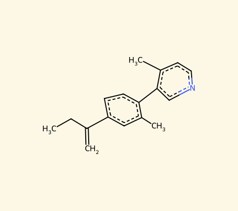 C=C(CC)c1ccc(-c2cnccc2C)c(C)c1